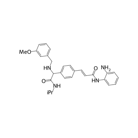 COc1cccc(CNC(C(=O)NC(C)C)c2ccc(C=CC(=O)Nc3ccccc3N)cc2)c1